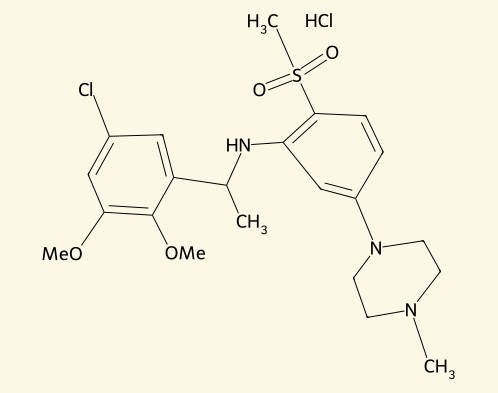 COc1cc(Cl)cc(C(C)Nc2cc(N3CCN(C)CC3)ccc2S(C)(=O)=O)c1OC.Cl